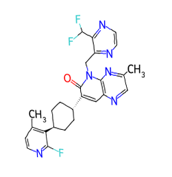 Cc1cnc2cc([C@H]3CC[C@H](c4c(C)ccnc4F)CC3)c(=O)n(Cc3nccnc3C(F)F)c2n1